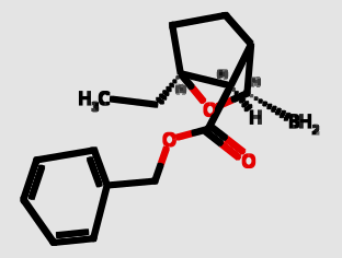 B[C@@H]1O[C@@]2(CC)CCC1[C@H]2C(=O)OCc1ccccc1